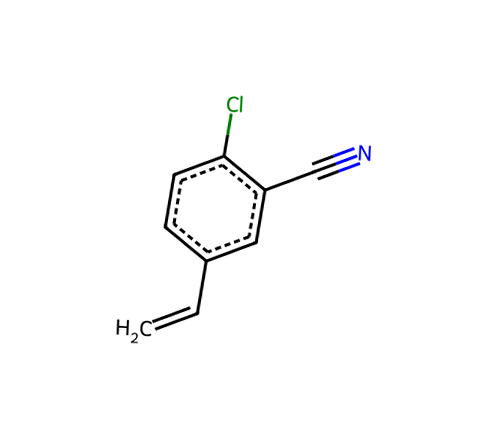 C=Cc1ccc(Cl)c(C#N)c1